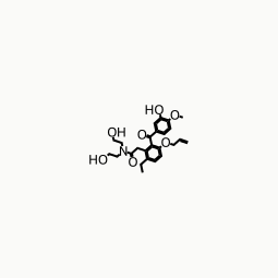 C=CCOc1ccc(CC)c(CC(=O)N(CCO)CCO)c1C(=O)c1ccc(OC)c(O)c1